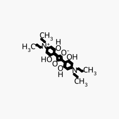 CCCN(CCC)c1cc(O)c(C2=C([O-])C(=C3C(O)=CC(=[N+](CCC)CCC)C=C3O)C2=O)c(O)c1